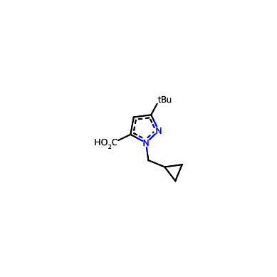 CC(C)(C)c1cc(C(=O)O)n(CC2CC2)n1